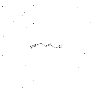 N#CCC=[C]CCl